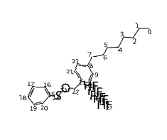 CCCCCCCCc1ccc(COSc2ccccc2)cc1.F.F.F.F.F